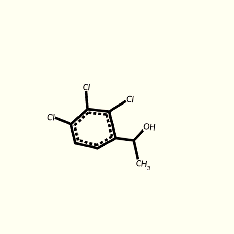 CC(O)c1ccc(Cl)c(Cl)c1Cl